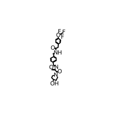 O=C(Cc1ccc(OC(F)(F)F)cc1)NCc1ccc(-c2nc(C(=O)N3CCC(O)CC3)co2)cc1